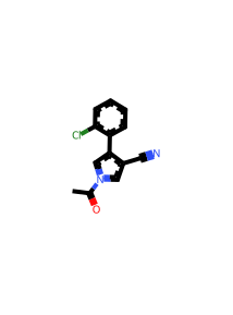 CC(=O)n1cc(C#N)c(-c2ccccc2Cl)c1